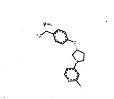 CC(=O)N[C@@H](C)c1ccc(O[C@@H]2CCN(c3ccnc(F)c3)C2)cc1